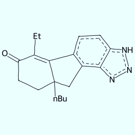 CCCCC12CCC(=O)C(CC)=C1c1ccc3[nH]nnc3c1C2